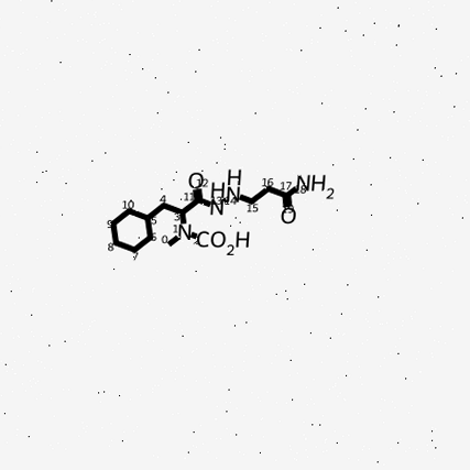 CN(C(=O)O)C(CC1CCCCC1)C(=O)NNCCC(N)=O